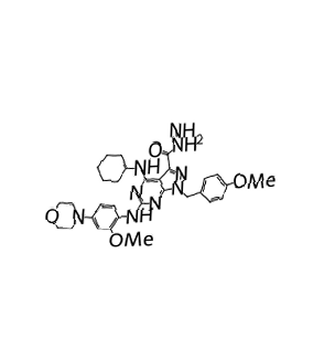 COc1ccc(Cn2nc(C(=O)NN)c3c(NC4CCCCC4)nc(Nc4ccc(N5CCOCC5)cc4OC)nc32)cc1